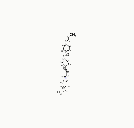 CCCCc1ccc(OC[C@H]2CC[C@H](C#C/C=C/[C@H]3CC[C@H](CC)CC3)CC2)cc1